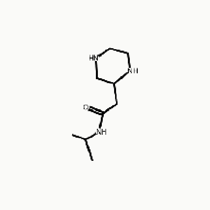 CC(C)NC(=O)CC1CNCCN1